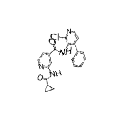 O=C(Nc1c(-c2ccccc2)ccnc1Cl)c1ccnc(NC(=O)C2CC2)c1